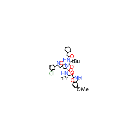 CCC[C@H](NC(=O)[C@@H]1C[C@]2(CC(c3cccc(Cl)c3)=NO2)CN1C(=O)[C@@H](NC(=O)CC1CCCCC1)C(C)(C)C)C(=O)C(=O)N[C@@H](C)c1cccc(OC)c1